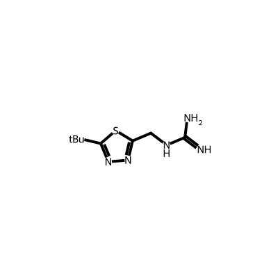 CC(C)(C)c1nnc(CNC(=N)N)s1